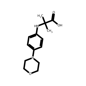 CC(C)(Nc1ccc(N2CCOCC2)cc1)C(=O)O